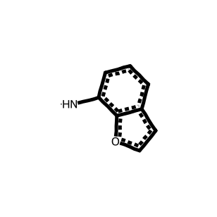 [NH]c1cccc2ccoc12